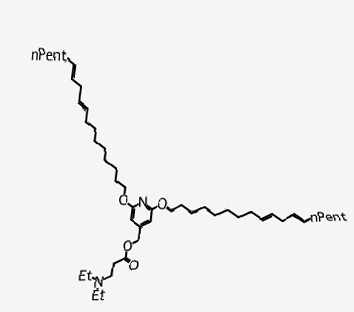 CCCCCC=CCC=CCCCCCCCCOc1cc(COC(=O)CCN(CC)CC)cc(OCCCCCCCCC=CCC=CCCCCC)n1